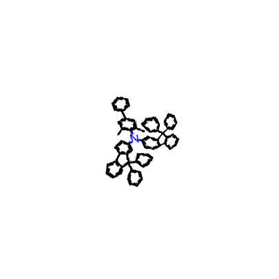 Cc1cc(-c2ccccc2)cc(C)c1N(c1ccc2c(c1)C(c1ccccc1)(c1ccccc1)c1ccccc1-2)c1ccc2c(c1)C(c1ccccc1)(c1ccccc1)c1ccccc1-2